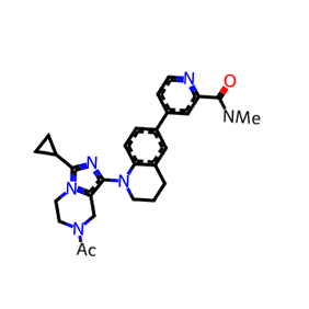 CNC(=O)c1cc(-c2ccc3c(c2)CCCN3c2nc(C3CC3)n3c2CN(C(C)=O)CC3)ccn1